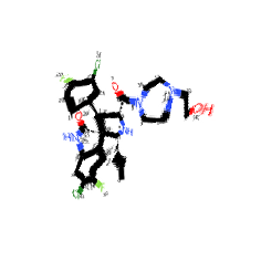 CCC[C@H]1N[C@@H](C(=O)N2CCN(CCO)CC2)[C@H](c2ccc(F)c(Cl)c2)[C@@]12C(=O)Nc1cc(Cl)c(F)cc12